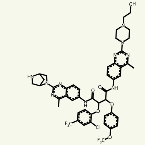 Cc1nc(N2CCN(CCO)CC2)nc2ccc(NC(=O)C(Oc3ccc(OC(F)(F)F)cc3)C(Oc3ccc(C(F)(F)F)cc3Cl)C(=O)Nc3ccc4nc(N5CC6CC5CN6)nc(C)c4c3)cc12